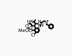 COC(=O)OC1=C(C)NC(C)=C(c2nc(CN(C)Cc3ccccc3)no2)C1c1cccc(Cl)c1Cl